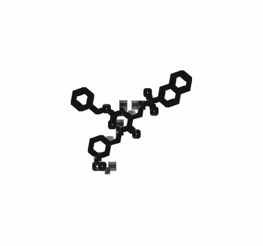 O=C(N[C@@H](CNS(=O)(=O)c1ccc2ccccc2c1)C(=O)NC[C@@H]1CCCN(C(=O)O)C1)OCc1ccccc1